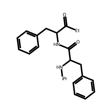 CCC(=O)C(Cc1ccccc1)NC(=O)C(Cc1ccccc1)NC(C)C